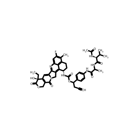 C#CCC(OC(=O)N[C@H]1CCc2c(C)c(F)cc3nc4c(c1c23)Cn1c-4cc2c(c1=O)COC(=O)[C@]2(O)CC)c1ccc(NC(=O)C(C)NC(=O)[C@@H](NC(C)=O)C(C)C)cc1